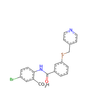 O=C(Nc1ccc(Br)cc1C(=O)O)c1cccc(SCc2ccncc2)c1